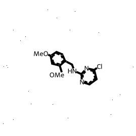 COc1ccc(CNc2nccc(Cl)n2)c(OC)c1